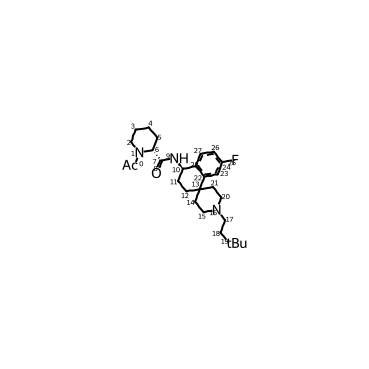 CC(=O)N1CCCC[C@@H]1C(=O)N[C@@H]1CCC2(CCN(CCC(C)(C)C)CC2)c2cc(F)ccc21